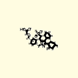 Cc1ccc(-c2nn(C[C@H]3CC[C@@H](COCC(=O)O)CC3)c(CCS(C)(=O)=O)c2-c2ccccc2)c(F)c1